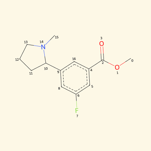 COC(=O)c1cc(F)cc(C2CCCN2C)c1